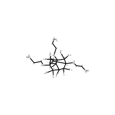 NCCOC12C(F)(F)C3(F)C(F)(F)C(OCCO)(C1(F)F)C(F)(F)C(OCCO)(C3(F)F)C2(F)F